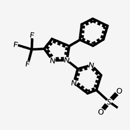 CS(=O)(=O)c1cnc(-n2nc(C(F)(F)F)cc2-c2ccccc2)nc1